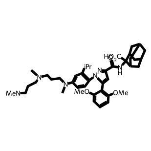 CNCCCN(C)CCCN(C)c1ccc(-n2nc(C(=O)NC3(C(=O)O)C4CC5CC(C4)CC3C5)cc2-c2c(OC)cccc2OC)c(C(C)C)c1